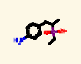 CCP(=O)(O)C(C)Cc1ccc(N)cc1